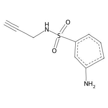 C#CCNS(=O)(=O)c1cccc(N)c1